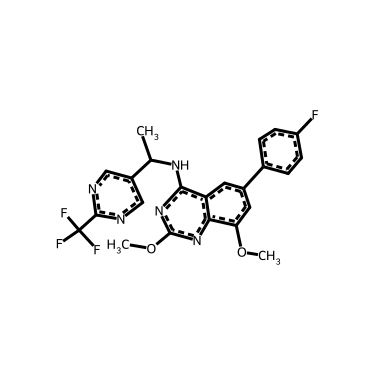 COc1nc(NC(C)c2cnc(C(F)(F)F)nc2)c2cc(-c3ccc(F)cc3)cc(OC)c2n1